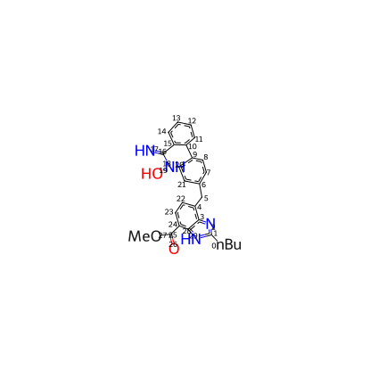 CCCCc1nc2c(Cc3ccc(-c4ccccc4C(=N)NO)cc3)ccc(C(=O)OC)c2[nH]1